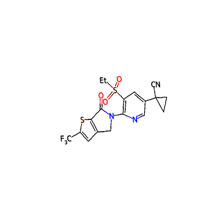 CCS(=O)(=O)c1cc(C2(C#N)CC2)cnc1N1Cc2cc(C(F)(F)F)sc2C1=O